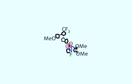 COc1ccc(-c2cc(C(F)(F)F)ccc2[C@H]2CCc3cc(S(=O)(=O)N(Cc4ccc(OC)cc4OC)c4cccc(F)n4)ccc32)cc1